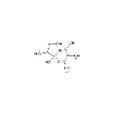 NC(CO)P(=O)(O)O.OCC(O)CO